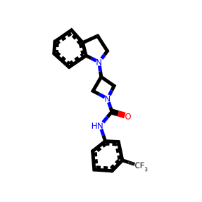 O=C(Nc1cccc(C(F)(F)F)c1)N1CC(N2CCc3ccccc32)C1